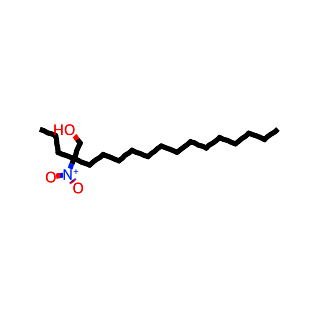 CCCCCCCCCCCCCCC(CO)(CCC)[N+](=O)[O-]